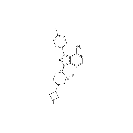 Cc1ccc(-c2nn([C@@H]3CCN(C4CNC4)C[C@H]3F)c3ncnc(N)c23)cc1